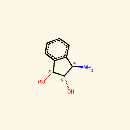 N[C@@H]1c2ccccc2[C@@H](O)[C@H]1O